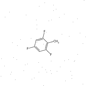 Cc1c(F)cc(F)cc1F